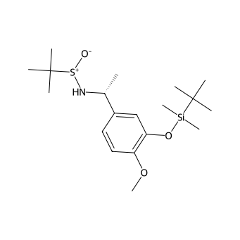 COc1ccc([C@@H](C)N[S+]([O-])C(C)(C)C)cc1O[Si](C)(C)C(C)(C)C